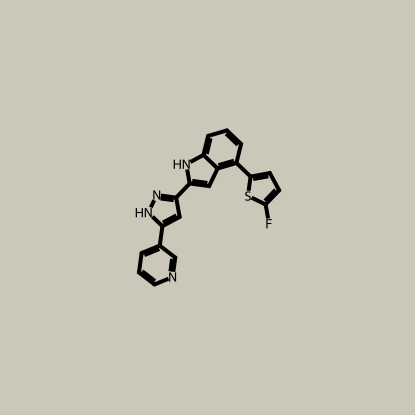 Fc1ccc(-c2cccc3[nH]c(-c4cc(-c5cccnc5)[nH]n4)cc23)s1